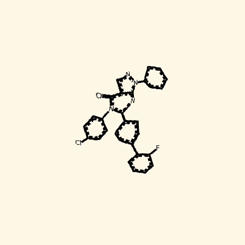 O=c1c2cnn(-c3ccccc3)c2nc(-c2ccc(-c3ccccc3F)cc2)n1-c1ccc(Cl)cc1